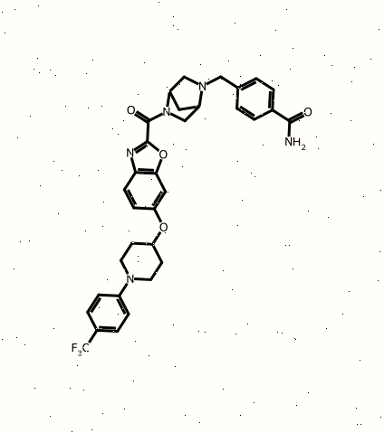 NC(=O)c1ccc(CN2CC3CC2CN3C(=O)c2nc3ccc(OC4CCN(c5ccc(C(F)(F)F)cc5)CC4)cc3o2)cc1